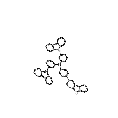 c1cc(N(c2ccc(-c3ccc4oc5ccccc5c4c3)cc2)c2cccc(-n3c4ccccc4c4ccccc43)c2)cc(-n2c3ccccc3c3ccccc32)c1